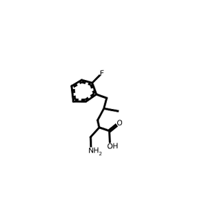 CC(Cc1ccccc1F)CC(CN)C(=O)O